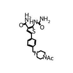 CC(=O)N1CCN(Cc2ccc(-c3cc(C(N)=O)c(NC(N)=O)s3)cc2)CC1